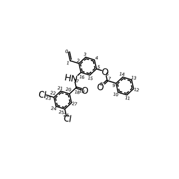 C=Cc1ccc(OC(=O)c2ccccc2)cc1NC(=O)c1cc(Cl)cc(Cl)c1